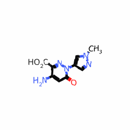 Cn1cc(-n2nc(C(=O)O)c(N)cc2=O)cn1